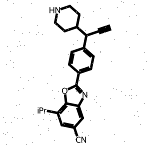 C#CC(c1ccc(-c2nc3cc(C#N)cc(C(C)C)c3o2)cc1)C1CCNCC1